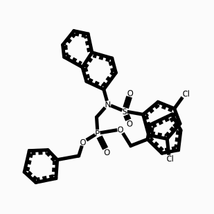 O=P(CN(c1ccc2ccccc2c1)S(=O)(=O)c1cc(Cl)cc(Cl)c1)(OCc1ccccc1)OCc1ccccc1